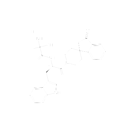 CC(C)(N)C(=O)N[C@H](Cc1c[nH]c2ccccc12)C(=O)N1CCC2(CC1)CC(=O)c1ccccc12.Cl